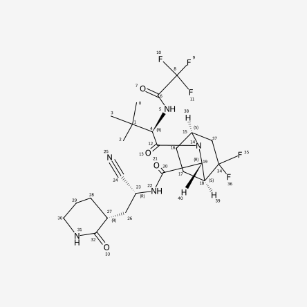 CC(C)(C)[C@@H](NC(=O)C(F)(F)F)C(=O)N1[C@H]2CC[C@@H]([C@@H]1C(=O)N[C@@H](C#N)C[C@H]1CCCNC1=O)C(F)(F)C2